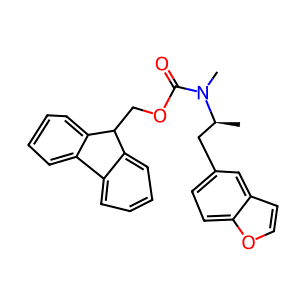 C[C@@H](Cc1ccc2occc2c1)N(C)C(=O)OCC1c2ccccc2-c2ccccc21